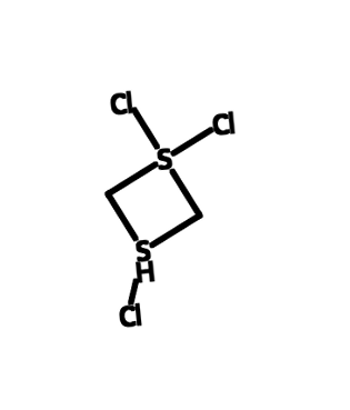 Cl[SH]1CS(Cl)(Cl)C1